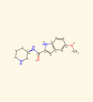 O=C(N[C@@H]1CCCNC1)c1cc2cc(OC(F)(F)F)ccc2[nH]1